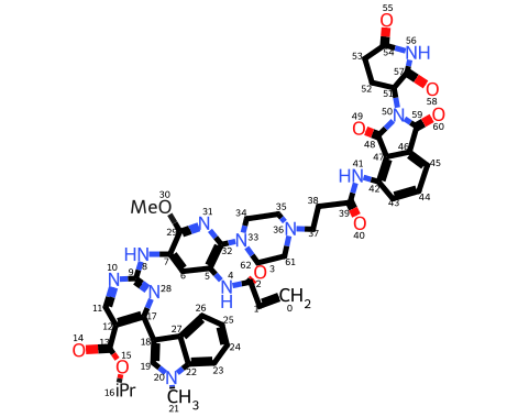 C=CC(=O)Nc1cc(Nc2ncc(C(=O)OC(C)C)c(-c3cn(C)c4ccccc34)n2)c(OC)nc1N1CCN(CCC(=O)Nc2cccc3c2C(=O)N(C2CCC(=O)NC2=O)C3=O)CC1